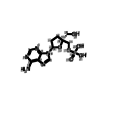 Nc1ncnc2c1ncn2[C@H]1CC[C@@](CO)(COP(=O)(O)O)O1